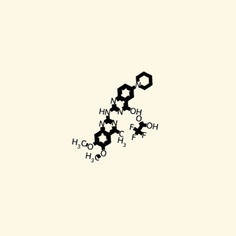 COc1cc2nc(Nc3nc(O)c4cc(N5CCCCC5)ccc4n3)nc(C)c2cc1OC.O=C(O)C(F)(F)F